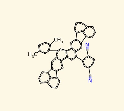 Cc1ccc(C)c(-c2cc3c4cc5c(cc4c(-c4cc(C#N)ccc4C#N)cc3c3cc4c(cc23)-c2cccc3cccc-4c23)-c2cccc3cccc-5c23)c1